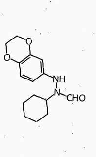 O=CN(Nc1ccc2c(c1)OCCO2)C1CCCCC1